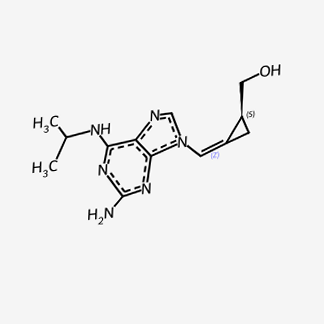 CC(C)Nc1nc(N)nc2c1ncn2/C=C1/C[C@@H]1CO